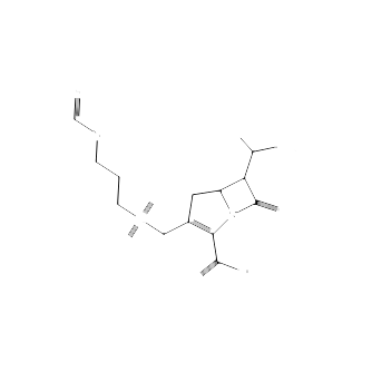 CC(O)C1C(=O)N2C(C(=O)O)=C(CS(=O)(=O)CCCNC=N)CC12